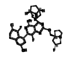 CCCc1nc(-c2cc(O)cc3ccc(Cl)c(F)c23)c(F)c2nc(OC[C@@]34CCCN3C[C@H](F)C4)nc(N3C[C@H]4CC[C@@H](C3)N4)c12